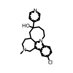 CN1CCC2CC(O)(c3ccncc3)CCCn3c2c(c2cc(Cl)ccc23)C1